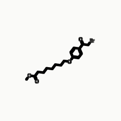 COC(=O)CCCCCCCOc1ccc(C(=O)CBr)cc1